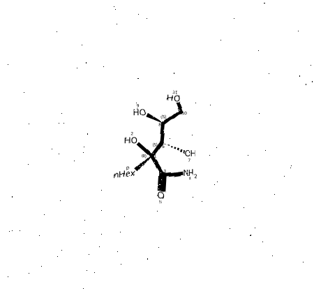 CCCCCC[C@](O)(C(N)=O)[C@@H](O)[C@@H](O)CO